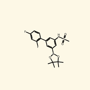 CC1(C)OB(c2cc(NS(C)(=O)=O)cc(-c3ccc(F)cc3F)c2)OC1(C)C